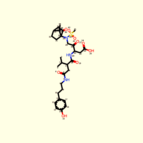 CC(C)C(CC(=O)NCCCc1ccc(O)cc1)C(=O)NC(CC(=O)O)C(=O)CN(C12CCC(CC1=O)C2(C)C)S(C)(=O)=O